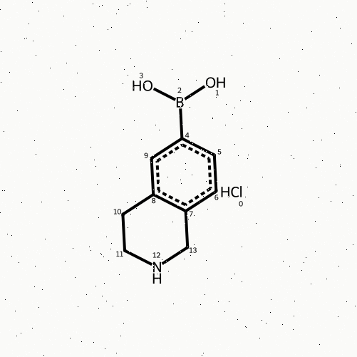 Cl.OB(O)c1ccc2c(c1)CCNC2